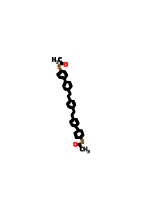 CC(=O)Sc1ccc(-c2ccc(CCc3ccc(CCc4ccc(-c5ccc(SC(C)=O)cc5)cc4)cc3)cc2)cc1